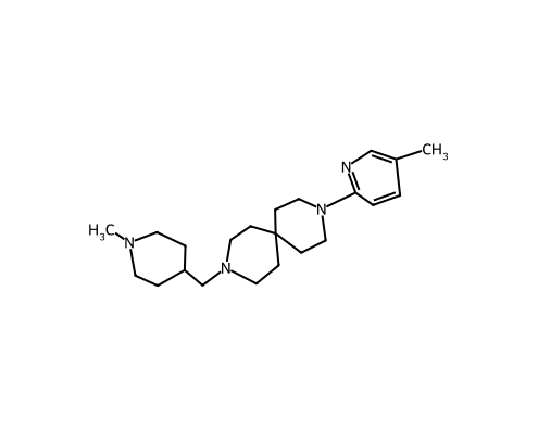 Cc1ccc(N2CCC3(CCN(CC4CCN(C)CC4)CC3)CC2)nc1